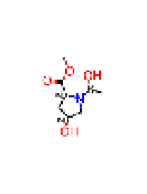 COC(=O)[C@@H]1C[C@H](O)CN1B(C)O